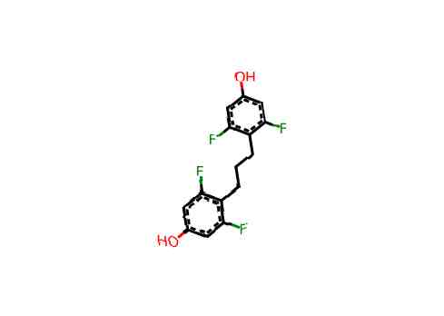 Oc1cc(F)c(CCCc2c(F)cc(O)cc2F)c(F)c1